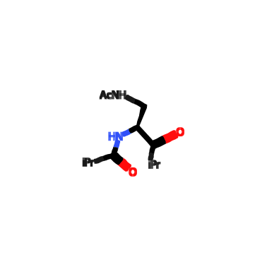 CC(=O)NC[C@H](NC(=O)C(C)C)C(=O)C(C)C